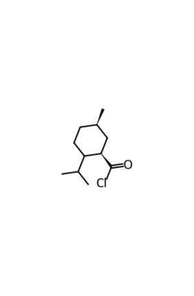 CC(C)C1CC[C@@H](C)C[C@H]1C(=O)Cl